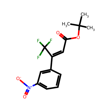 CC(C)(C)OC(=O)C=C(c1cccc([N+](=O)[O-])c1)C(F)(F)F